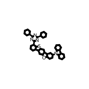 c1ccc(-c2nc(-c3ccccc3)nc(-c3cccc4c3sc3cc5c(cc34)oc3ccc(-n4c6ccccc6c6ccccc64)cc35)n2)cc1